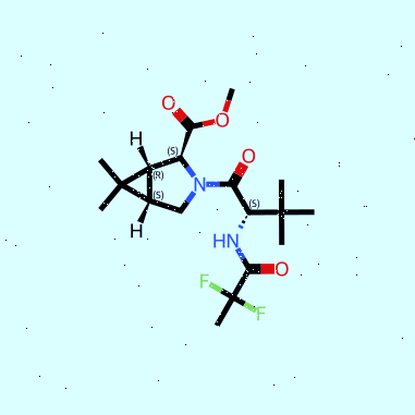 COC(=O)[C@@H]1[C@@H]2[C@H](CN1C(=O)[C@@H](NC(=O)C(C)(F)F)C(C)(C)C)C2(C)C